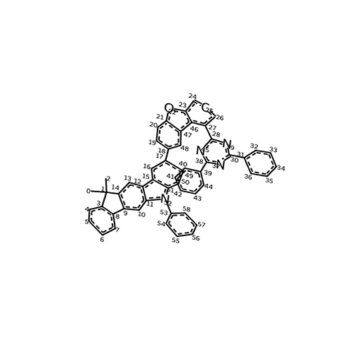 CC1(C)c2ccccc2-c2cc3c(cc21)c1cc(-c2ccc4oc5cccc(-c6nc(-c7ccccc7)nc(-c7ccccc7)n6)c5c4c2)ccc1n3-c1ccccc1